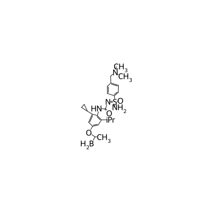 BC(C)Oc1cc(C(C)C)c(NC(=O)N=S(N)(=O)c2ccc(CN(C)C)cc2)c(C2CC2)c1